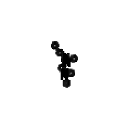 c1ccc(-c2ccc(-c3cc(-c4cccc(-n5nc(-c6ccccc6)c6ccccc65)c4)nc(-c4ccccc4)n3)cc2)cc1